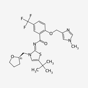 Cn1cnc(COc2ccc(C(F)(F)F)cc2C(=O)N=c2sc(C(C)(C)C)cn2C[C@H]2CCCO2)c1